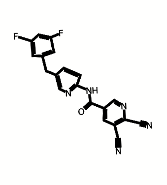 N#Cc1cc(C(=O)Nc2ccc(Cc3cc(F)cc(F)c3)cn2)cnc1C#N